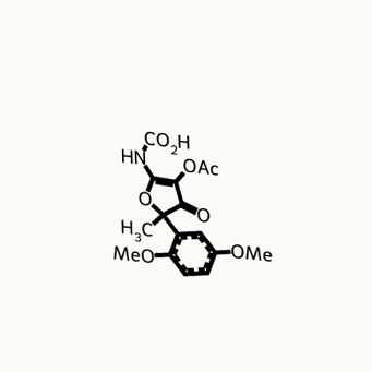 COc1ccc(OC)c(C2(C)OC(NC(=O)O)=C(OC(C)=O)C2=O)c1